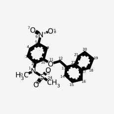 CN(c1ccc([N+](=O)[O-])cc1OCc1cccc2ccccc12)S(C)(=O)=O